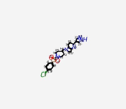 O=S(=O)(c1ccc(Cl)cc1)N1CCC(Cn2ccc3nc(-c4cn[nH]c4)ccc32)CC1